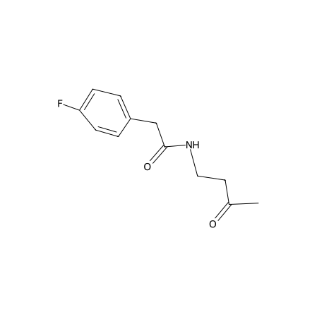 CC(=O)CCNC(=O)Cc1ccc(F)cc1